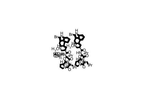 CC(C)C[C@H]1C(=O)N2CCC[C@H]2[C@]2(O)O[C@](NC(=O)[C@@H]3C=C4c5cccc6[nH]c(Br)c(c56)C[C@H]4N(C)C3)(C(C)C)C(=O)N12.CC(C)C[C@H]1C(=O)N2CCC[C@H]2[C@]2(O)O[C@](NC(=O)[C@@H]3C=C4c5cccc6[nH]c(Br)c(c56)C[C@H]4N(C)C3)(C(C)C)C(=O)N12.CS(=O)(=O)O.CS(=O)(=O)O